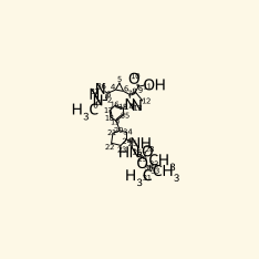 Cn1cc(C2CC2c2c(C(=O)O)cnn2-c2cccc(C3CCCC(NNC(=O)OC(C)(C)C)C3)c2)nn1